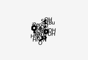 CCCC(C)C(OC(OP(=O)(O)O)[C@H]1O[C@@H](n2cnc3c(=O)[nH]c(NNCc4ccccc4)nc32)[C@H](O)[C@]1(C)O)(C(O)=S)C(C)(C)C